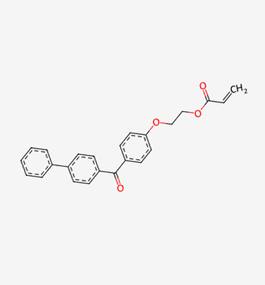 C=CC(=O)OCCOc1ccc(C(=O)c2ccc(-c3ccccc3)cc2)cc1